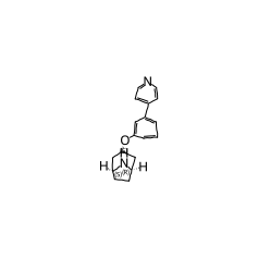 c1cc(O[C@@H]2C[C@H]3CC[C@@H](C2)N3)cc(-c2ccncc2)c1